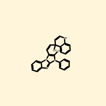 Cc1c(/C=C\C2(C)C=CNc3ccccc32)n2c3ccccc3nc2n1-c1ccccc1